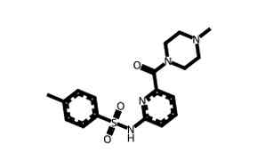 Cc1ccc(S(=O)(=O)Nc2cccc(C(=O)N3CCN(C)CC3)n2)cc1